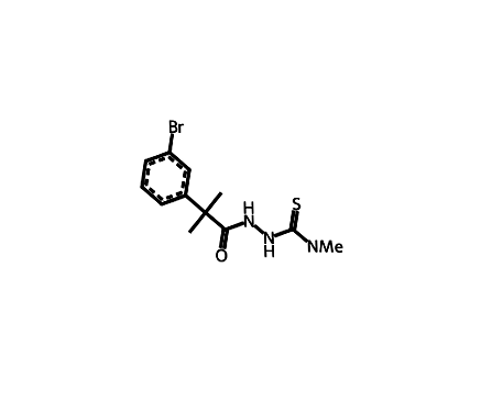 CNC(=S)NNC(=O)C(C)(C)c1cccc(Br)c1